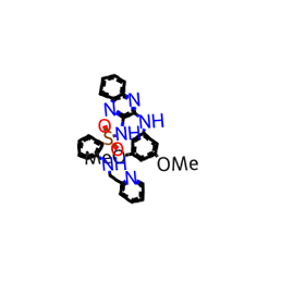 COc1cc(Nc2nc3ccccc3nc2NS(=O)(=O)c2ccccc2NCc2ccccn2)cc(OC)c1